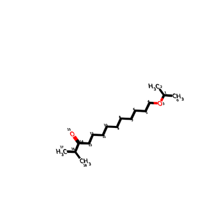 CC(C)OCCCCCCCCCCC(=O)C(C)C